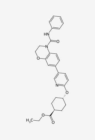 CCOC(=O)[C@H]1CC[C@H](Oc2ccc(-c3ccc4c(c3)OCCN4C(=O)Nc3ccccc3)cn2)CC1